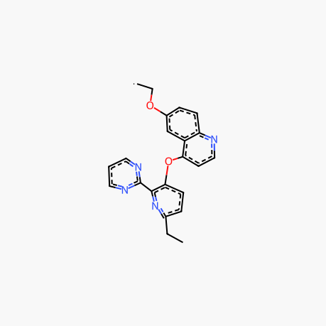 [CH2]COc1ccc2nccc(Oc3ccc(CC)nc3-c3ncccn3)c2c1